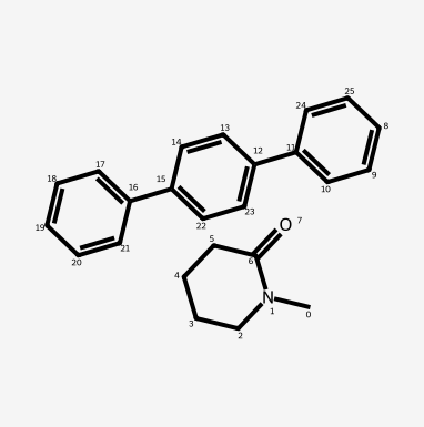 CN1CCCCC1=O.c1ccc(-c2ccc(-c3ccccc3)cc2)cc1